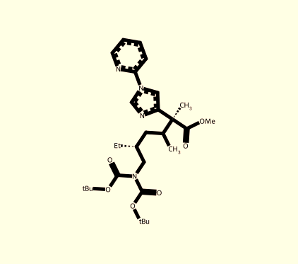 CC[C@H](CC(C)[C@](C)(C(=O)OC)c1cn(-c2ccccn2)cn1)CN(C(=O)OC(C)(C)C)C(=O)OC(C)(C)C